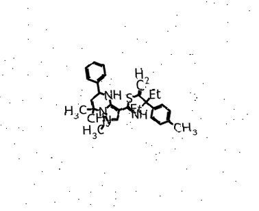 C=C(SC(=N)C1=C2NC(c3ccccc3)CC(C)(C)N2N(C)C1)C(CC)(CC)c1ccc(C)cc1